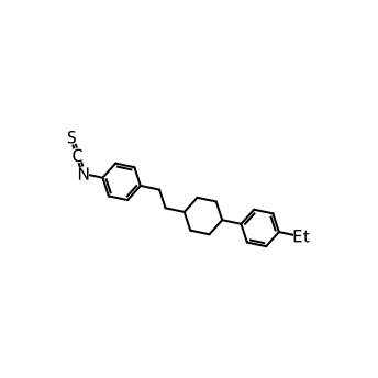 CCc1ccc(C2CCC(CCc3ccc(N=C=S)cc3)CC2)cc1